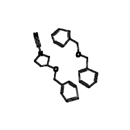 N#CN1CCC(OCc2ccccc2)C1.c1ccc(COCc2ccccc2)cc1